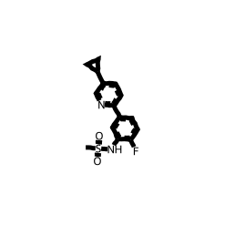 CS(=O)(=O)Nc1cc(-c2ccc(C3CC3)cn2)ccc1F